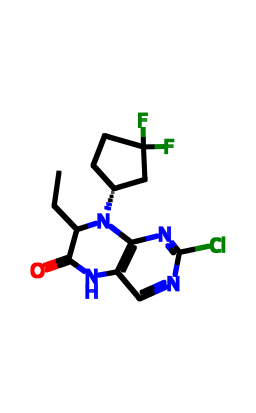 CCC1C(=O)Nc2cnc(Cl)nc2N1[C@@H]1CCC(F)(F)C1